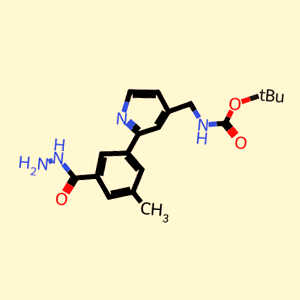 Cc1cc(C(=O)NN)cc(-c2cc(CNC(=O)OC(C)(C)C)ccn2)c1